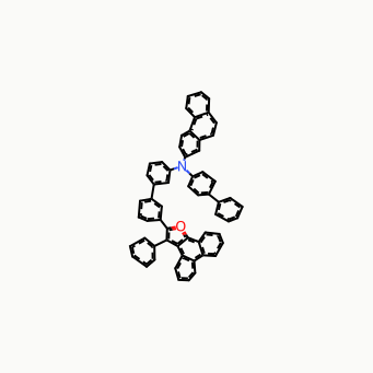 c1ccc(-c2ccc(N(c3cccc(-c4cccc(-c5oc6c7ccccc7c7ccccc7c6c5-c5ccccc5)c4)c3)c3ccc4c(ccc5ccccc54)c3)cc2)cc1